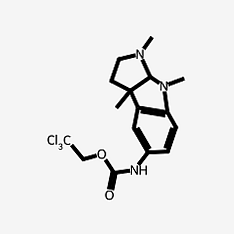 CN1CCC2(C)c3cc(NC(=O)OCC(Cl)(Cl)Cl)ccc3N(C)C12